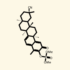 COP(=O)(OC)OC1=C(C)C2=CC=C3[C@@](C)(CC[C@@]4(C)C5C[C@](C)(C#N)CC[C@]5(C)CC[C@]34C)C2=CC1=O